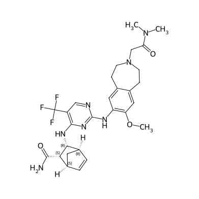 COc1cc2c(cc1Nc1ncc(C(F)(F)F)c(N[C@H]3[C@@H](C(N)=O)[C@@H]4C=C[C@H]3C4)n1)CCN(CC(=O)N(C)C)CC2